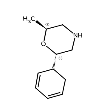 C[C@H]1CNC[C@H](C2C=CC=CC2)O1